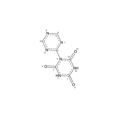 O=c1[nH]c(=O)n(-c2ncncn2)c(=O)[nH]1